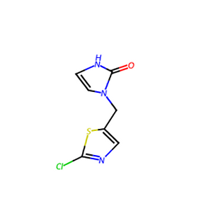 O=c1[nH]ccn1Cc1cnc(Cl)s1